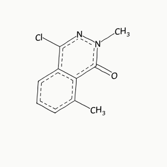 Cc1cccc2c(Cl)nn(C)c(=O)c12